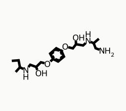 CCC(C)NCC(O)COc1ccc(OCC(O)CNC(C)CN)cc1